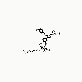 CCCCCCCC(=O)N(C)Cc1cccc(-c2ccc(CCC(=O)O)cc2NCc2ccc(F)cc2)c1